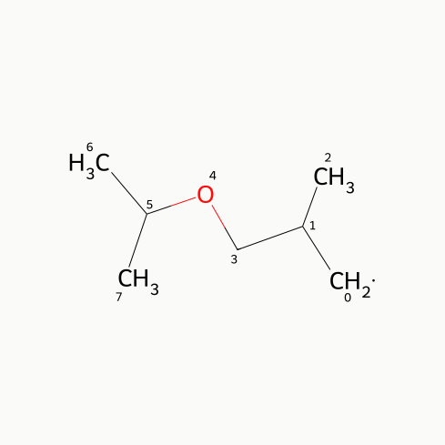 [CH2]C(C)COC(C)C